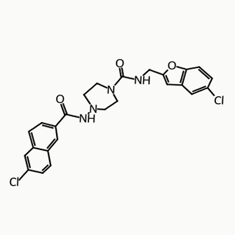 O=C(NN1CCN(C(=O)NCc2cc3cc(Cl)ccc3o2)CC1)c1ccc2cc(Cl)ccc2c1